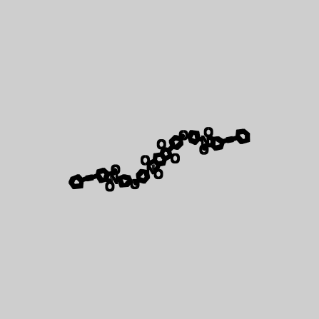 O=C1C(c2ccc(Oc3ccc(N4C(=O)c5ccc(C#Cc6ccccc6)cc5C4=O)cc3)cc2)C(=O)C2CC3C(=O)N(c4ccc(Oc5ccc(N6C(=O)c7ccc(C#Cc8ccccc8)cc7C6=O)cc5)cc4)C(=O)C3=CC12